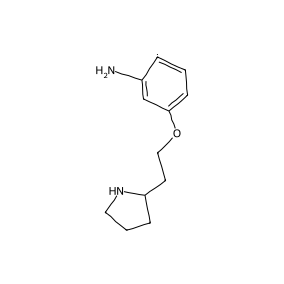 Nc1[c]ccc(OCCC2CCCN2)c1